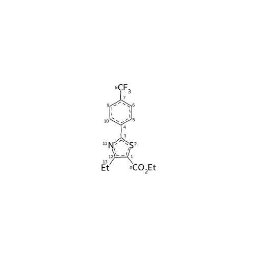 CCOC(=O)c1sc(-c2ccc(C(F)(F)F)cc2)nc1CC